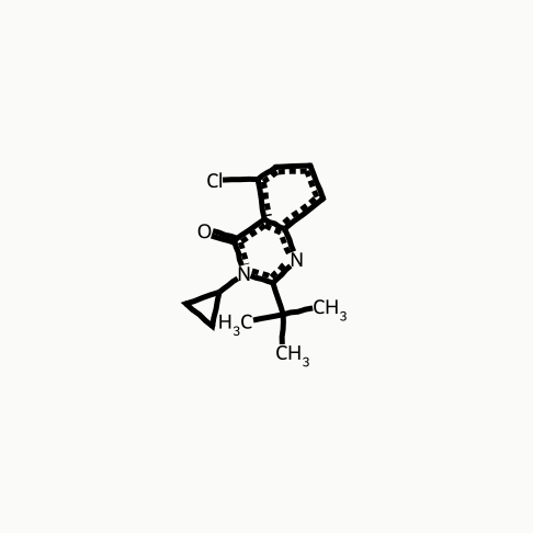 CC(C)(C)c1nc2cccc(Cl)c2c(=O)n1C1CC1